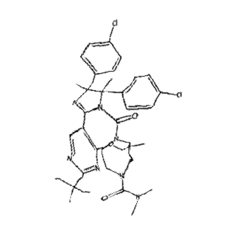 CCOc1nc(C(C)(C)C)ncc1C1=NC(C)(c2ccc(Cl)cc2)C(C)(c2ccc(Cl)cc2)N1C(=O)N1CCN(C(=O)N(C)C)CC1